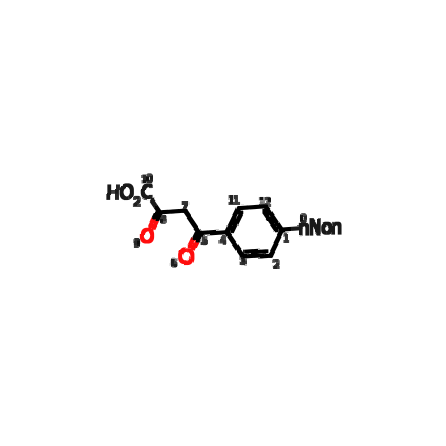 CCCCCCCCCc1ccc(C(=O)CC(=O)C(=O)O)cc1